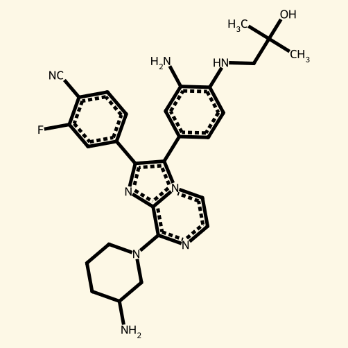 CC(C)(O)CNc1ccc(-c2c(-c3ccc(C#N)c(F)c3)nc3c(N4CCCC(N)C4)nccn23)cc1N